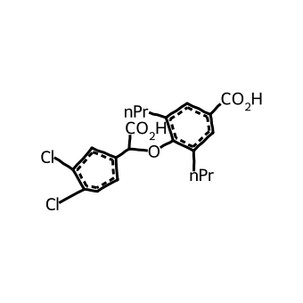 CCCc1cc(C(=O)O)cc(CCC)c1OC(C(=O)O)c1ccc(Cl)c(Cl)c1